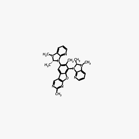 Cc1ncc2c(n1)oc1c(N3c4ncccc4N(C)[C@@H]3C)c(C)c(N3c4ncccc4N(C)[C@H]3C)cc12